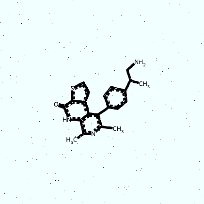 Cc1nc(C)c2[nH]c(=O)c3sccc3c2c1-c1ccc(C(C)CN)cc1